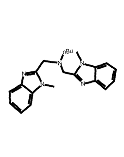 CCCCN(Cc1nc2ccccc2n1C)Cc1nc2ccccc2n1C